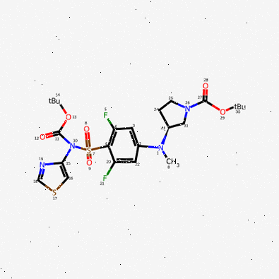 CN(c1cc(F)c(S(=O)(=O)N(C(=O)OC(C)(C)C)c2cscn2)c(F)c1)[C@H]1CCN(C(=O)OC(C)(C)C)C1